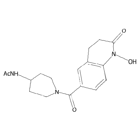 CC(=O)NC1CCN(C(=O)c2ccc3c(c2)CCC(=O)N3O)CC1